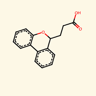 O=C(O)CCC1Oc2ccccc2-c2ccccc21